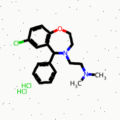 CN(C)CCN1CCOc2ccc(Cl)cc2C1c1ccccc1.Cl.Cl